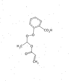 C=CC(=O)OC(C)OOc1ccccc1C(=O)O